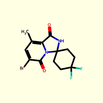 Cc1cc(Br)c(=O)n2c1C(=O)NC21CCC(F)(F)CC1